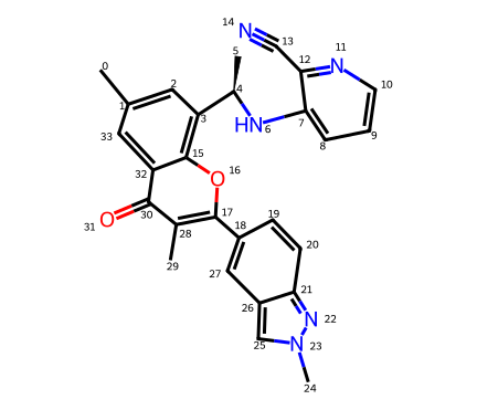 Cc1cc([C@@H](C)Nc2cccnc2C#N)c2oc(-c3ccc4nn(C)cc4c3)c(C)c(=O)c2c1